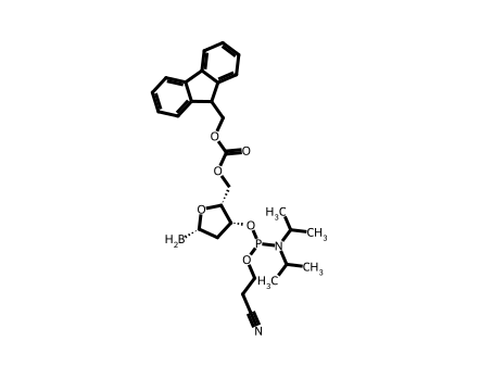 B[C@H]1C[C@@H](OP(OCCC#N)N(C(C)C)C(C)C)[C@@H](COC(=O)OCC2c3ccccc3-c3ccccc32)O1